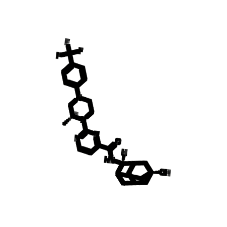 C[C@@H]1CN(c2ccc(C(F)(F)F)cc2)CCN1c1nccc(C(=O)N[C@H]2C3CC4CC2C[C@](O)(C4)C3)n1